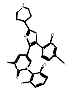 O=c1c(I)cc(-c2nc(C3CCNCC3)sc2-c2ccc(F)cc2Cl)cn1-c1c(Cl)cccc1Cl